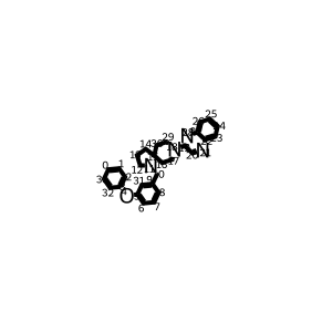 c1ccc(Oc2cccc(CN3CCCC34CCN(c3cnc5ccccc5n3)CC4)c2)cc1